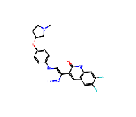 CN1CC[C@@H](Oc2ccc(N/C=C(\N=N)c3cc4cc(F)c(F)cc4[nH]c3=O)cc2)C1